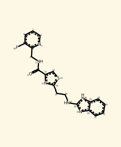 O=C(NCc1ncccc1F)c1csc(CCNc2nc3ccccc3[nH]2)n1